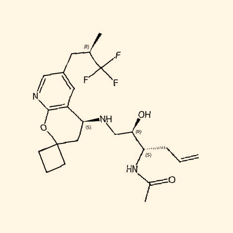 C=CC[C@H](NC(C)=O)[C@H](O)CN[C@H]1CC2(CCC2)Oc2ncc(C[C@@H](C)C(F)(F)F)cc21